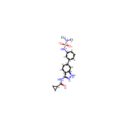 CCN(CC)S(=O)(=O)Nc1cccc(-c2ccc3c(NC(=O)C4CC4)n[nH]c3c2)c1